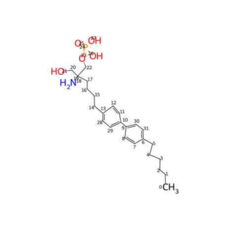 CCCCCCc1ccc(-c2ccc(CCCCC(N)(CO)COP(=O)(O)O)cc2)cc1